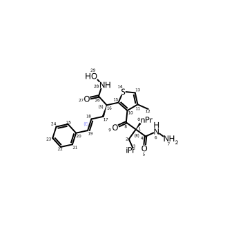 CCC[C@](CC(C)C)(C(=O)NN)C(=O)c1c(C)csc1[C@@H](C/C=C/c1ccccc1)C(=O)NO